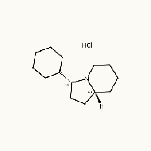 C1CCC([C@H]2CC[C@H]3CCCCN32)CC1.Cl